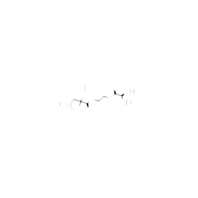 C=C(C)C(=O)OCCOC(=O)C(C)(CC(C)(C)C)C(C)C